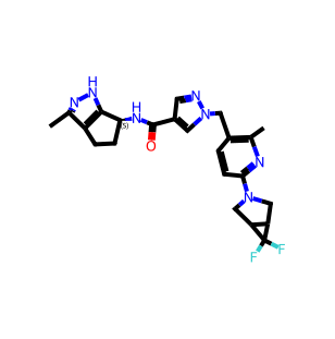 Cc1nc(N2CC3C(C2)C3(F)F)ccc1Cn1cc(C(=O)N[C@H]2CCc3c(C)n[nH]c32)cn1